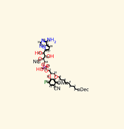 CCCCCCCCCCCCCCCCCCOC[C@H](COP(=O)(O)OC[C@@H](OC#N)[C@@H](O)[C@@H](O)c1ccc2c(N)ncnn12)Oc1cc(OC)c(C#N)cc1F